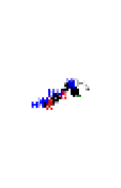 Cn1ncc(/C=C/C(=O)Nc2ccc(CS(=O)(=O)c3c[nH]nn3)cc2)c1-c1ccc(F)cc1